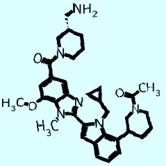 COc1cc(C(=O)N2CCC[C@@H](CN)C2)cc2nc(-c3cc4cccc(C5CCCN(C(C)=O)C5)c4n3CC3CC3)n(C)c12